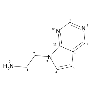 NCCn1ccc2cncnc21